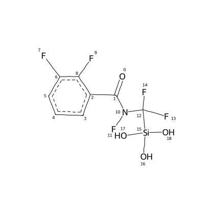 O=C(c1cccc(F)c1F)N(F)C(F)(F)[Si](O)(O)O